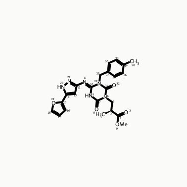 COC(=O)[C@@H](C)Cn1c(=O)[nH]/c(=N\c2cc(-c3ccco3)[nH]n2)n(Cc2ccc(C)cc2)c1=O